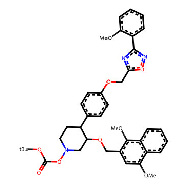 COc1ccccc1-c1noc(COc2ccc(C3CCN(OC(=O)OC(C)(C)C)CC3OCc3cc(OC)c4ccccc4c3OC)cc2)n1